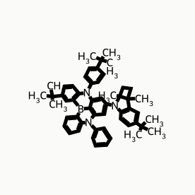 CC(C)(C)c1ccc(N2c3ccc(C(C)(C)C)cc3B3c4ccccc4N(c4ccccc4)c4cc(N5c6ccc(C(C)(C)C)cc6C6(C)CCC56C)cc2c43)cc1